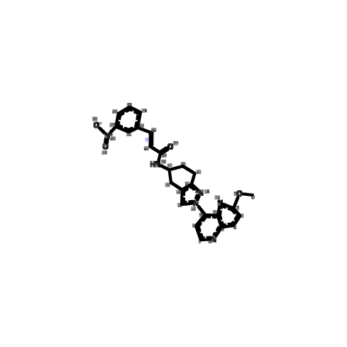 COc1ccc2nccc(-n3cc4c(n3)CCC(NC(=O)/C=C/c3cccc([N+](=O)[O-])c3)C4)c2n1